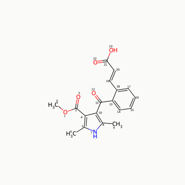 COC(=O)c1c(C)[nH]c(C)c1C(=O)c1ccccc1/C=C/C(=O)O